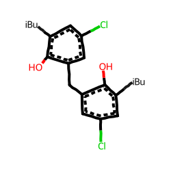 CCC(C)c1cc(Cl)cc(Cc2cc(Cl)cc(C(C)CC)c2O)c1O